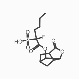 CCCCC(F)(C(=O)OC1C2CC3C(=O)OC1C3C2)S(=O)(=O)O